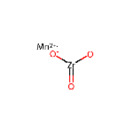 [Mn+2].[O]=[Zr]([O-])[O-]